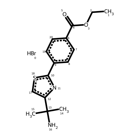 Br.CCOC(=O)c1ccc(-c2nc(C(C)(C)N)cs2)cc1